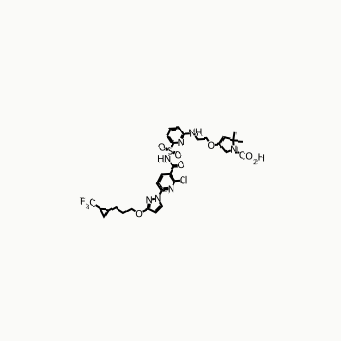 CC1(C)CC(OCCNc2cccc(S(=O)(=O)NC(=O)c3ccc(-n4ccc(OCCCC5CC5C(F)(F)F)n4)nc3Cl)n2)CN1C(=O)O